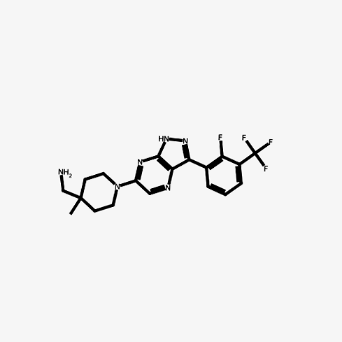 CC1(CN)CCN(c2cnc3c(-c4cccc(C(F)(F)F)c4F)n[nH]c3n2)CC1